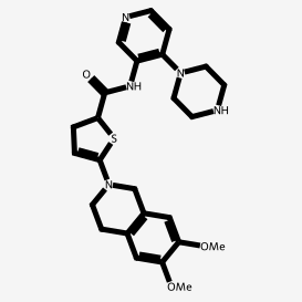 COc1cc2c(cc1OC)CN(C1=CCC(C(=O)Nc3cnccc3N3CCNCC3)S1)CC2